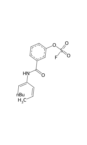 C/C=C\C(=CCCCC)NC(=O)c1cccc(OS(=O)(=O)F)c1